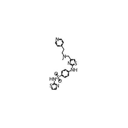 CN(CCc1ccncc1)Cc1csc(Nc2ccc(S(=O)(=O)Nc3nccs3)cc2)n1